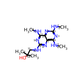 CNc1nc(NC)c2nc(NCC(C)(C)O)nc(NC)c2n1